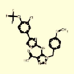 COc1ccc(Cn2nnc(C(=O)O)c2Nc2nc(-c3ccc(OC(F)(F)F)c(Cl)c3)cs2)cc1